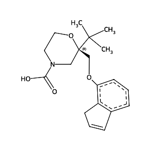 CC(C)(C)[C@]1(COc2cccc3c2CC=C3)CN(C(=O)O)CCO1